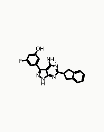 Nc1nc(C2Cc3ccccc3C2)nc2[nH]nc(-c3cc(O)cc(F)c3)c12